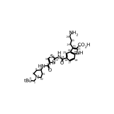 CC(C)(C)CN1CCC(NC(=O)c2csc(NC(=O)c3ccc4[nH]c(C(=O)O)c(CCCN)c4c3)n2)CC1